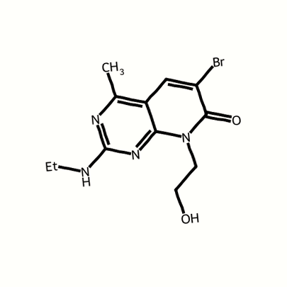 CCNc1nc(C)c2cc(Br)c(=O)n(CCO)c2n1